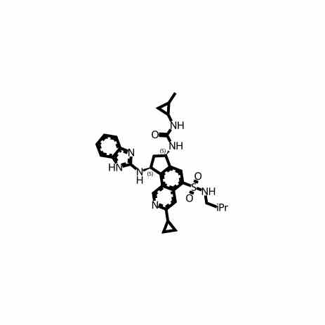 CC(C)CNS(=O)(=O)c1cc2c(c3cnc(C4CC4)cc13)[C@@H](Nc1nc3ccccc3[nH]1)C[C@@H]2NC(=O)NC1CC1C